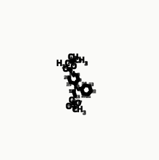 CC(C)(C)OC(=O)N1CCC(N(CCOS(C)(=O)=O)C2CCCCC2)CC1